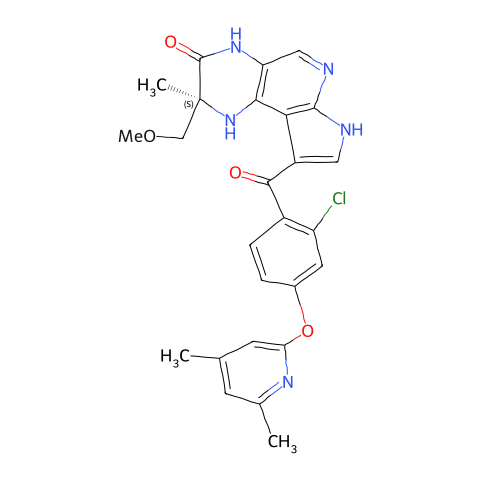 COC[C@]1(C)Nc2c(cnc3[nH]cc(C(=O)c4ccc(Oc5cc(C)cc(C)n5)cc4Cl)c23)NC1=O